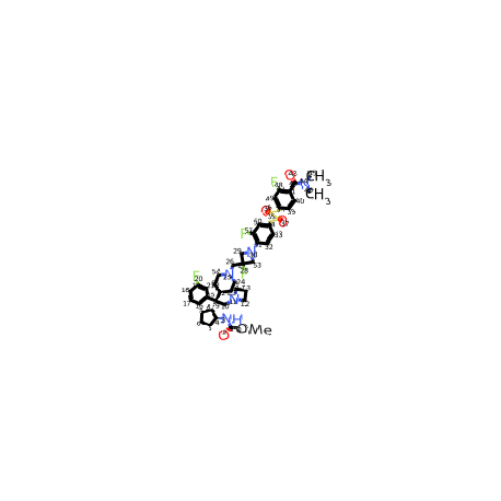 COC(=O)N[C@H]1CCC[C@@H]1C(CN1CCC1)(c1cccc(F)c1)C1CCN(CC2(F)CN(c3ccc(S(=O)(=O)c4ccc(C(=O)N(C)C)c(F)c4)cc3F)C2)CC1